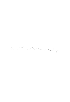 CCCCCCCCCCCCOCCCCCOC=COC(C)O